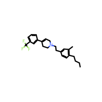 CCCCc1ccc(CCN2CC=C(c3cccc(C(F)(F)F)c3)CC2)cc1C